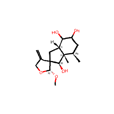 C=C1CO[C@@H](OC)C12C[C@@H]1C(O)C(O)C[C@@H](C)[C@]1(C)[C@H]2O